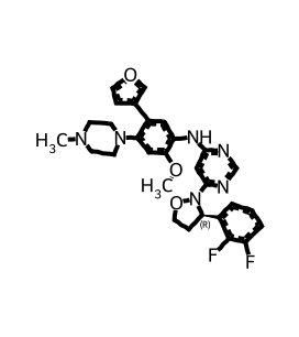 COc1cc(N2CCN(C)CC2)c(-c2ccoc2)cc1Nc1cc(N2OCC[C@@H]2c2cccc(F)c2F)ncn1